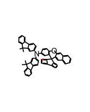 CC1(C)c2ccccc2-c2ccc(N(c3ccc4c(c3)C(C)(C)c3ccccc3-4)c3ccc4c(c3)C3(c5cc6ccccc6cc5O4)c4ccccc4-c4ccccc43)cc21